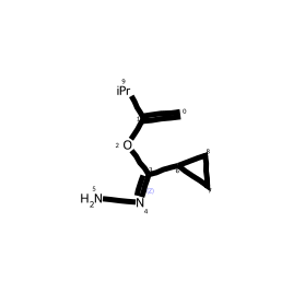 C=C(O/C(=N\N)C1CC1)C(C)C